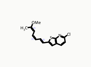 CO/C(C)=C/C=C\C=C\c1cc2ccc(Cl)nc2s1